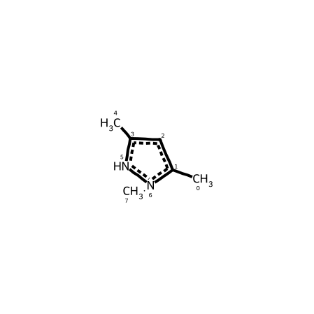 Cc1cc(C)[nH]n1.[CH3]